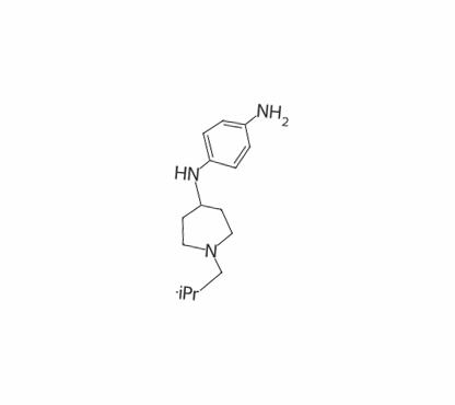 C[C](C)CN1CCC(Nc2ccc(N)cc2)CC1